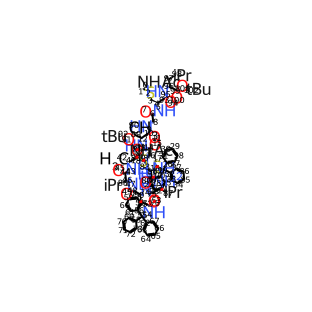 CC(=O)NCSC[C@H](NC(=O)CNC(=O)[C@@H](NC(=O)[C@H](CSC(c1ccccc1)(c1ccccc1)c1ccccc1)NC(=O)[C@H](C)NC(=O)[C@@H](NC(=O)[C@H](CC(=O)NC(c1ccccc1)(c1ccccc1)c1ccccc1)NC(=O)[C@@H](NC(=O)[C@@H](N)CSCNC(C)=O)C(C)C)C(C)C)[C@@H](C)OC(C)(C)C)C(=O)N[C@@H](CC(C)C)C(=O)OC(C)(C)C